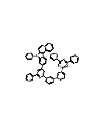 c1ccc(-c2nc(-c3cccc(-c4cccc(-c5nc(-c6ccccc6)nc(-c6ccccc6)n5)c4)c3)cc(-c3ccc4c5c6ccccc6ccc5n(-c5ccccc5)c4c3)n2)cc1